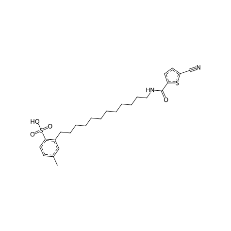 Cc1ccc(S(=O)(=O)O)c(CCCCCCCCCCCCNC(=O)c2ccc(C#N)s2)c1